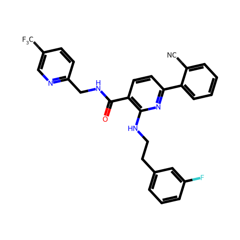 N#Cc1ccccc1-c1ccc(C(=O)NCc2ccc(C(F)(F)F)cn2)c(NCCc2cccc(F)c2)n1